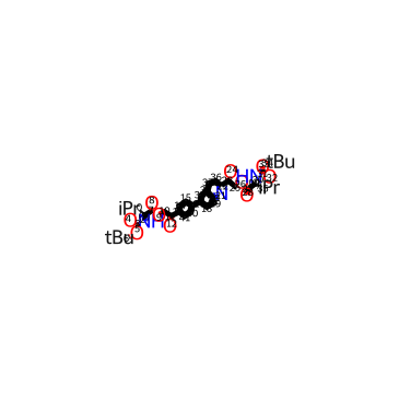 CC(C)[C@H](NC(=O)OC(C)(C)C)C(=O)OCC(=O)c1ccc(-c2ccc3nc(C(=O)COC(=O)[C@@H](NC(=O)OC(C)(C)C)C(C)C)ccc3c2)cc1